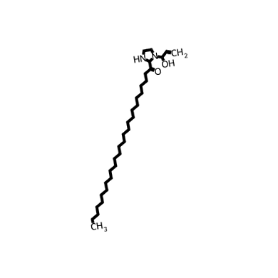 C=CC(O)N1CCNC1C(=O)CCCCCCCCCCCCCCCCCCCCCCCCCC